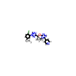 Cc1ccc(F)c(-n2nnc(C(C)Oc3nnc(-c4ccncc4)n3C)n2)c1